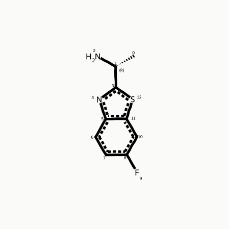 C[C@@H](N)c1nc2ccc(F)cc2s1